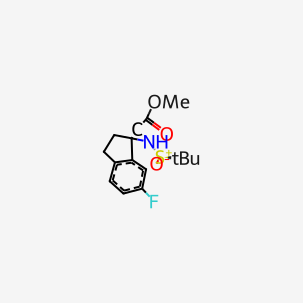 COC(=O)C[C@@]1(N[S@+]([O-])C(C)(C)C)CCc2ccc(F)cc21